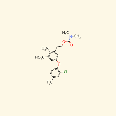 CN(C)C(=O)OCCc1cc(Oc2ccc(C(F)(F)F)cc2Cl)cc(C(=O)O)c1[N+](=O)[O-]